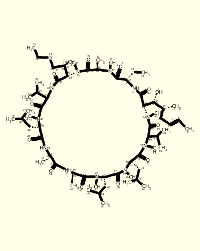 C/C=C/C[C@@H](C)[C@@H](O)[C@H]1C(=O)N[C@@H](CC)C(=O)N(C)[C@H](C)C(=O)N(C)[C@@H]([C@H](C)COCC)C(=O)NC(C(C)C)C(=O)N(C)[C@@H](CC(C)C)C(=O)N[C@@H](C)C(=O)N[C@H](C)C(=O)N(C)[C@@H](CC(C)C)C(=O)N(C)[C@@H](CC(C)C)C(=O)N(C)C(C(C)C)C(=O)N1C